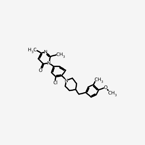 COc1ccc(CC2CCN(c3ccc(-n4c(C)nc(C)cc4=O)cc3Cl)CC2)cc1C